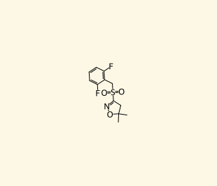 CC1(C)CC(S(=O)(=O)Cc2c(F)cccc2F)=NO1